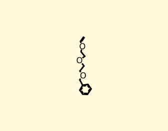 C=COCCOCCOCc1ccccc1